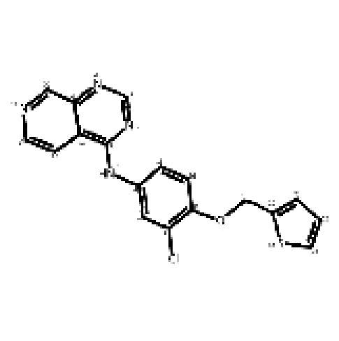 Clc1cc(Nc2ncnc3cn[c]cc23)ccc1OCc1cccs1